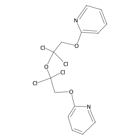 ClC(Cl)(COc1ccccn1)OC(Cl)(Cl)COc1ccccn1